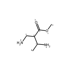 COC(=O)C(CN)C(C)N